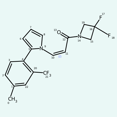 Cc1ccc(-c2cccn2/C=C\C(=O)N2CC(F)(F)C2)c(C(F)(F)F)c1